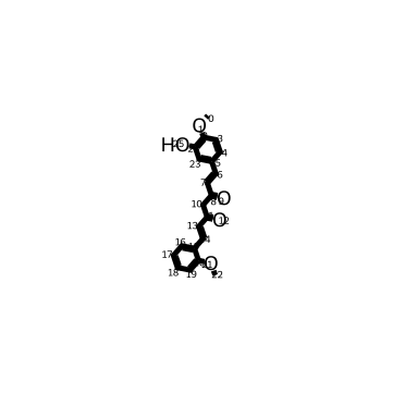 COc1ccc(/C=C/C(=O)CC(=O)/C=C/c2ccccc2OC)cc1O